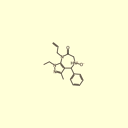 C=CCN1C(=O)C[NH+]([O-])C(c2ccccc2)c2c(C)nn(CC)c21